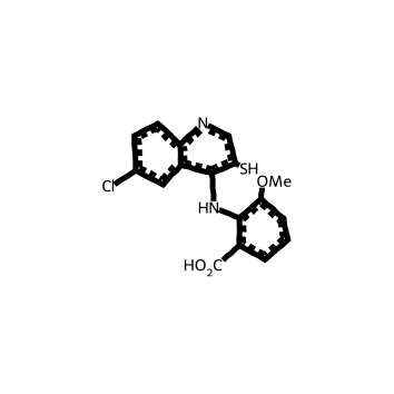 COc1cccc(C(=O)O)c1Nc1c(S)cnc2ccc(Cl)cc12